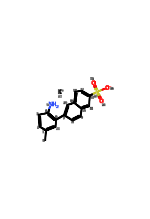 Cc1ccc(N)c(-c2ccc3cc(S(=O)(=O)[O-])ccc3c2)c1.[K+]